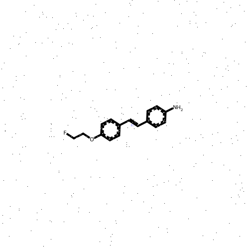 Nc1ccc(/C=C/c2ccc(OCCF)cc2)cc1